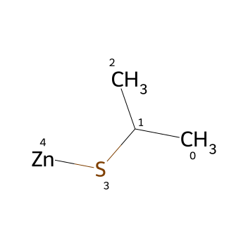 CC(C)[S][Zn]